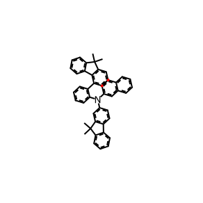 CC1(C)c2ccccc2-c2ccc(N(c3ccc4ccccc4c3)c3ccccc3-c3cccc4c3-c3ccccc3C4(C)C)cc21